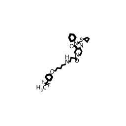 CC(F)(F)c1ccc(OCCCCCNCCC(=O)N2CCc3nc(SC4CCC4)n(-c4ccccc4)c(=O)c3C2)cc1